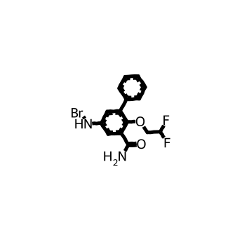 NC(=O)c1cc(NBr)cc(-c2ccccc2)c1OCC(F)F